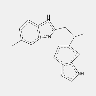 Cc1ccc2[nH]c(CC(C)c3ccc4nc[nH]c4c3)nc2c1